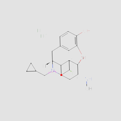 CN[C@@H]1CC[C@@]2(O)[C@H]3Cc4ccc(O)c5c4[C@@]2([C@@H](F)CN3CC2CC2)[C@H]1O5.Cl.Cl